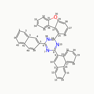 c1ccc2cc(-c3nc(-c4cc5ccccc5c5ccccc45)nc(-c4cccc5oc6ccccc6c45)n3)ccc2c1